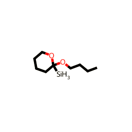 CCCCOC1([SiH3])CCCCO1